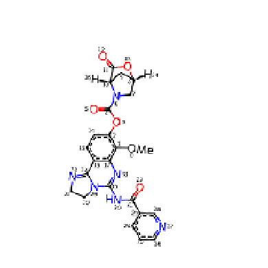 COc1c(OC(=O)N2C[C@@H]3C[C@H]2C(=O)O3)ccc2c1N=C(NC(=O)c1cccnc1)N1CCN=C21